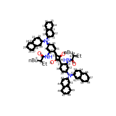 CCCCC(CC)C(=O)NC1=CC(=[N+](c2ccc3ccccc3c2)c2ccc3ccccc3c2)C=C/C1=C1\C(=O)C(c2ccc(N(c3ccc4ccccc4c3)c3ccc4ccccc4c3)cc2NC(=O)C(CC)CCCC)=C1[O-]